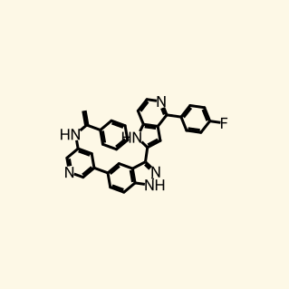 C=C(Nc1cncc(-c2ccc3[nH]nc(-c4cc5c(-c6ccc(F)cc6)nccc5[nH]4)c3c2)c1)c1ccccc1